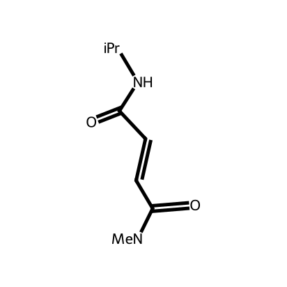 CNC(=O)/C=C/C(=O)NC(C)C